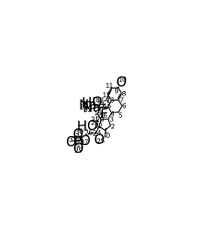 C[C@@H]1CC2C3CCC4=CC(=O)C=C[C@]4(C)[C@@]3(F)[C@@H](O)C[C@]2(C)[C@@]1(O)C(=O)COP(=O)([O-])[O-].[Na+].[Na+]